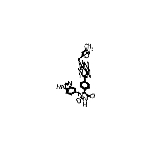 Cc1cc(Cn2nnc(-c3ccc(C4C(=O)NC(=O)N4c4ccc5[nH]cnc5c4)cc3)n2)on1